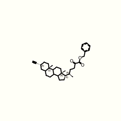 C#C[C@@H]1CC[C@@]2(C)C(CCC3C2CC[C@@]2(C)C3CC[C@@H]2[C@H](C)CCC(=O)C(=O)OCc2ccccc2)C1